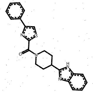 O=C(c1nc(-c2ccccc2)cs1)N1CCC(c2nc3ccccc3[nH]2)CC1